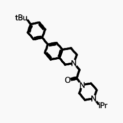 CC(C)N1CCN(C(=O)CN2CCc3cc(-c4ccc(C(C)(C)C)cc4)ccc3C2)CC1